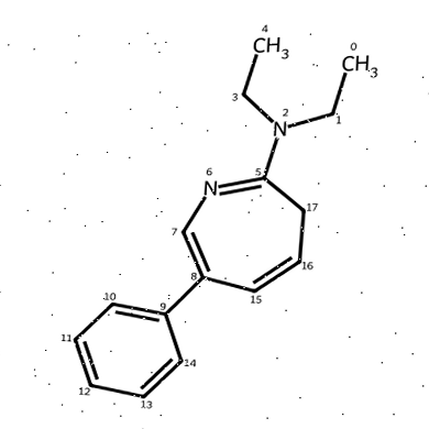 CCN(CC)C1=NC=C(c2ccccc2)C=CC1